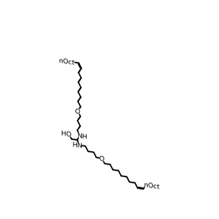 CCCCCCCC/C=C\CCCCCCCCOCCCCNC(CO)NCCCCOCCCCCCCC/C=C\CCCCCCCC